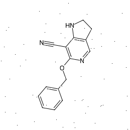 N#Cc1c(OCc2ccccc2)ncc2c1NCC2